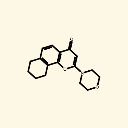 O=c1cc(N2CCOCC2)oc2c3c(ccc12)CCCC3